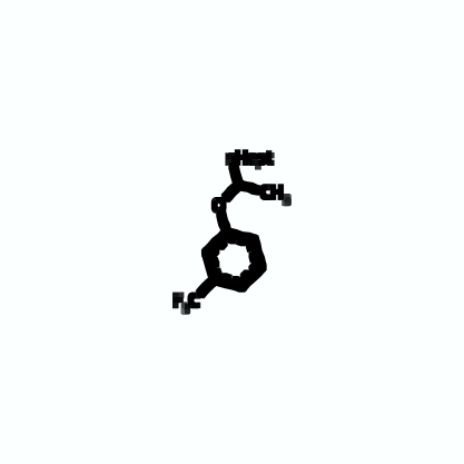 CCCCCCCC(C)Oc1cccc(C(F)(F)F)c1